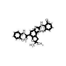 CC1(C)Cc2c(c(C(=O)Nc3ccccc3C(F)(F)F)cc3nc(Nc4c(F)cccc4Cl)[nH]c23)O1